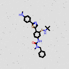 CNc1ccc(-c2ncc(-c3ccc(NC(=O)N(C)Cc4ccccc4)cc3SNC(C)(C)C)s2)cc1